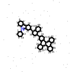 c1ccc(-n2c3ccccc3c3ccc(-c4ccc(-c5ccc6c(c5)c5ccccc5c5c7ccccc7c7ccccc7c65)c5ccccc45)cc32)cc1